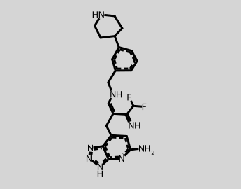 N=C(/C(=C\NCc1cccc(C2CCNCC2)c1)Cc1cc(N)nc2[nH]nnc12)C(F)F